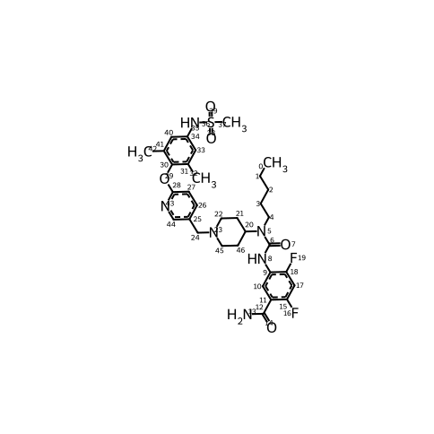 CCCCCN(C(=O)Nc1cc(C(N)=O)c(F)cc1F)C1CCN(Cc2ccc(Oc3c(C)cc(NS(C)(=O)=O)cc3C)nc2)CC1